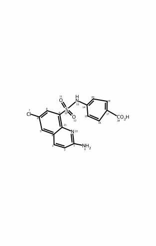 Nc1ccc2cc(Cl)cc(S(=O)(=O)Nc3ccc(C(=O)O)cc3)c2n1